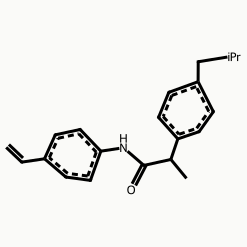 C=Cc1ccc(NC(=O)C(C)c2ccc(CC(C)C)cc2)cc1